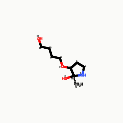 O=C(O)[C@@]1(O)NCCC1OCCCCO